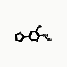 CCC(C)Nc1ncc(-c2cccs2)cc1C(C)C